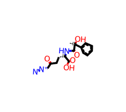 C[C@@](O)(C(=O)N[C@@H](CCC(=O)C=[N+]=[N-])C(=O)O)c1ccccc1